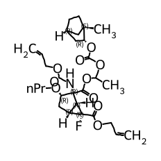 C=CCOC(=O)N[C@@]1(C(=O)OC(C)OC(=O)O[C@@H]2C[C@@H]3CC[C@@]2(C)C3)[C@H](OCCC)C[C@@H]2[C@H]1[C@@]2(F)C(=O)OCC=C